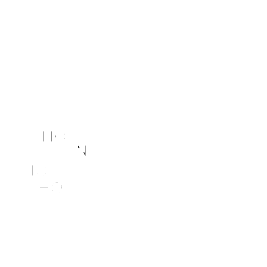 CCCCCCCCCCCCCCCC[N+](CCCO)(CCCO)CC(O)CCC